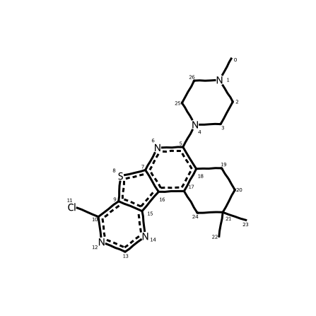 CN1CCN(c2nc3sc4c(Cl)ncnc4c3c3c2CCC(C)(C)C3)CC1